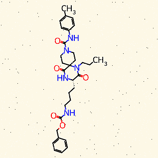 CCCN1C(=O)[C@H](CCCCNC(=O)OCc2ccccc2)NC(=O)C12CCN(C(=O)Nc1ccc(C)cc1)CC2